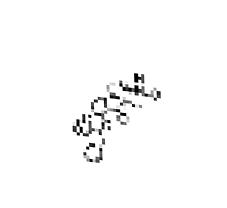 O=C1CCC(N2C(=O)c3cccc(OC(Cc4ccccc4)C4=COCO4)c3C2=O)C(=O)N1